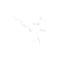 C=NCC=C1C=C(C(C)(C)C)C(=O)C(C(C)(C)C)=C1